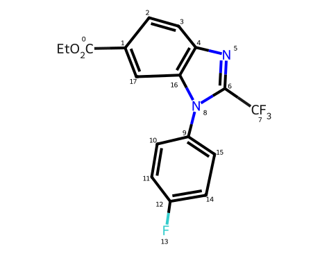 CCOC(=O)c1ccc2nc(C(F)(F)F)n(-c3ccc(F)cc3)c2c1